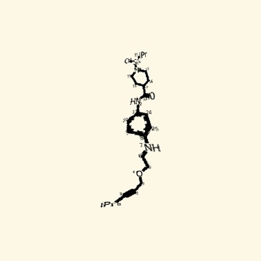 CC(C)C#CCOCCNc1ccc(NC(=O)C2CCN([S+]([O-])C(C)C)CC2)cc1